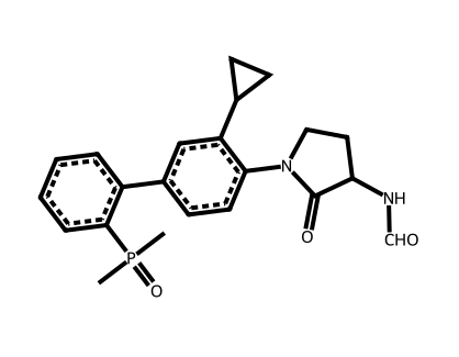 CP(C)(=O)c1ccccc1-c1ccc(N2CCC(NC=O)C2=O)c(C2CC2)c1